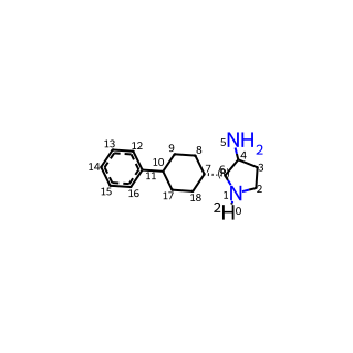 [2H]N1CCC(N)[C@H]1C1CCC(c2ccccc2)CC1